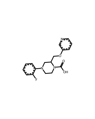 O=C(O)N1CCN(c2ccccc2F)CC1COc1cccnc1